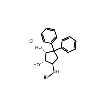 CC(C)N[C@@H]1CC(c2ccccc2)(c2ccccc2)[C@@H](O)[C@H]1O.Cl